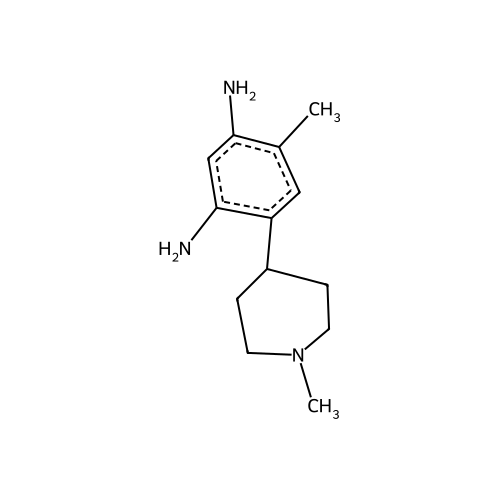 Cc1cc(C2CCN(C)CC2)c(N)cc1N